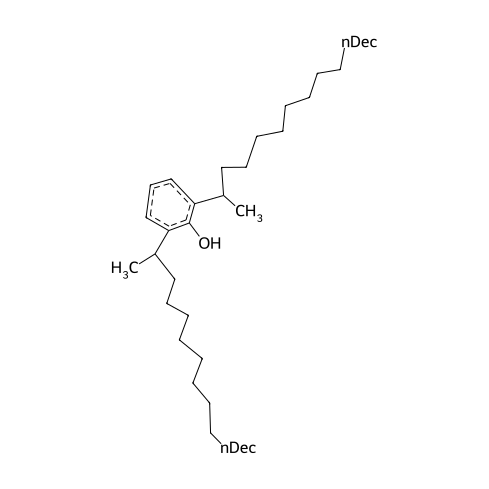 CCCCCCCCCCCCCCCCCCC(C)c1cccc(C(C)CCCCCCCCCCCCCCCCCC)c1O